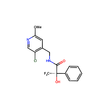 COc1cc(CNC(=O)[C@](O)(c2ccccc2)C(F)(F)F)c(Cl)cn1